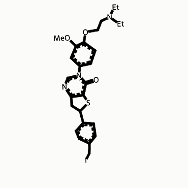 CCN(CC)CCOc1ccc(-n2cnc3c(c2=O)SC(c2ccc(CI)cc2)C3)cc1OC